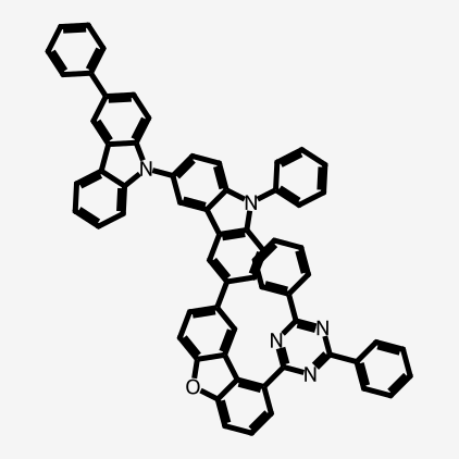 c1ccc(-c2ccc3c(c2)c2ccccc2n3-c2ccc3c(c2)c2cc(-c4ccc5oc6cccc(-c7nc(-c8ccccc8)nc(-c8ccccc8)n7)c6c5c4)ccc2n3-c2ccccc2)cc1